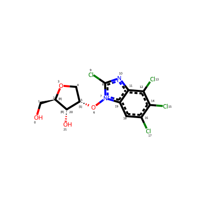 OC[C@H]1OC[C@H](On2c(Cl)nc3c(Cl)c(Cl)c(Cl)cc32)[C@@H]1O